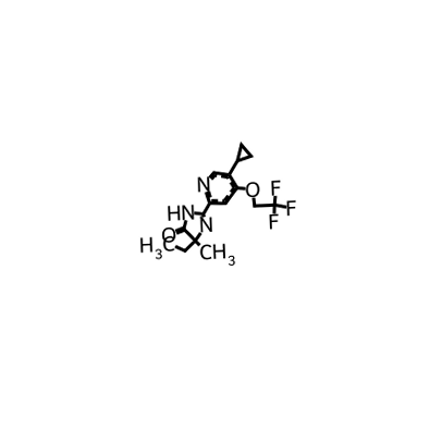 CCC1(C)N=C(c2cc(OCC(F)(F)F)c(C3CC3)cn2)NC1=O